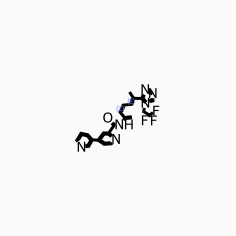 C=C(/C=C\C=C(/C)c1nncn1CC(F)(F)F)NC(=O)c1cc(-c2cccnc2)ccn1